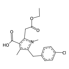 CCOC(=O)Cc1c(C(=O)O)c(C)c(Cc2ccc(Cl)cc2)n1C